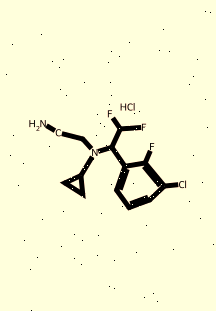 Cl.NCCN(C1CC1)C(c1cccc(Cl)c1F)C(F)F